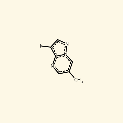 Cc1cnc2c(I)cnn2c1